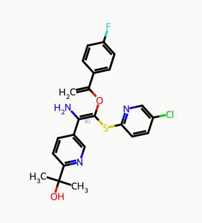 C=C(O/C(Sc1ccc(Cl)cn1)=C(\N)c1ccc(C(C)(C)O)nc1)c1ccc(F)cc1